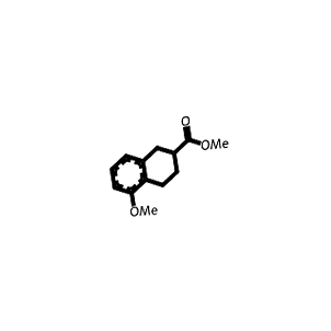 COC(=O)C1CCc2c(cccc2OC)C1